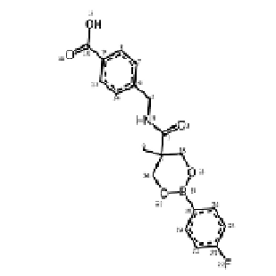 CC1(C(=O)NCc2ccc(C(=O)O)cc2)COB(c2ccc(F)cc2)OC1